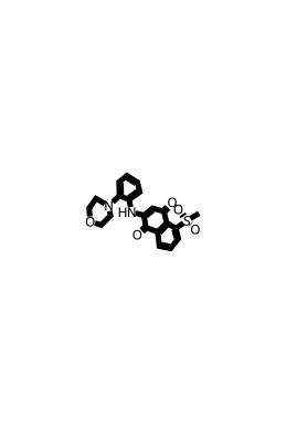 CS(=O)(=O)c1cccc2c1C(=O)C=C(Nc1ccccc1N1CCOCC1)C2=O